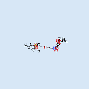 C=CCC(CC=C)S(=O)(=O)c1cccc(CCCCOCCCCCCN2C[C@@H](c3ccc4c(c3)COC(C)(C)O4)OC2=O)c1